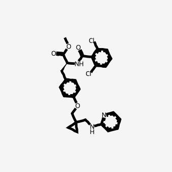 COC(=O)[C@H](Cc1ccc(OCC2(CNc3ccccn3)CC2)cc1)NC(=O)c1c(Cl)cccc1Cl